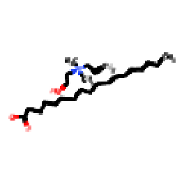 C=CC[N+](C)(C)CCO.CCCCCCCCCCCCCCCCCC(=O)[O-]